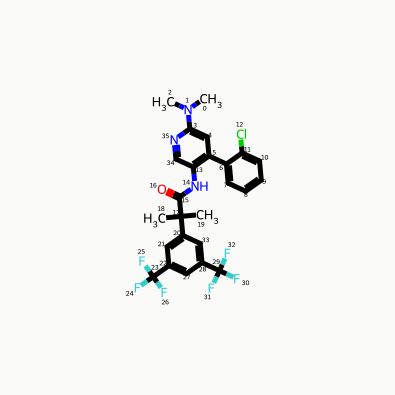 CN(C)c1cc(-c2ccccc2Cl)c(NC(=O)C(C)(C)c2cc(C(F)(F)F)cc(C(F)(F)F)c2)cn1